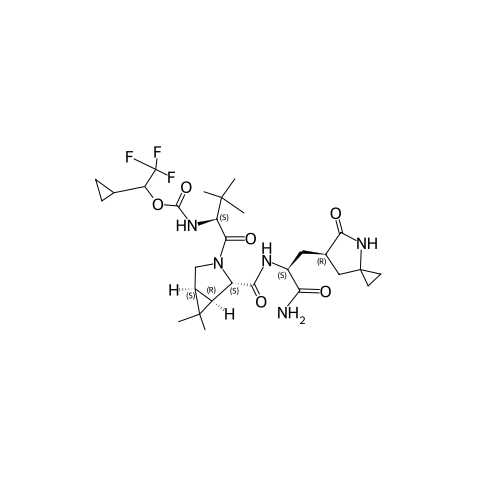 CC(C)(C)[C@H](NC(=O)OC(C1CC1)C(F)(F)F)C(=O)N1C[C@H]2[C@@H]([C@H]1C(=O)N[C@@H](C[C@@H]1CC3(CC3)NC1=O)C(N)=O)C2(C)C